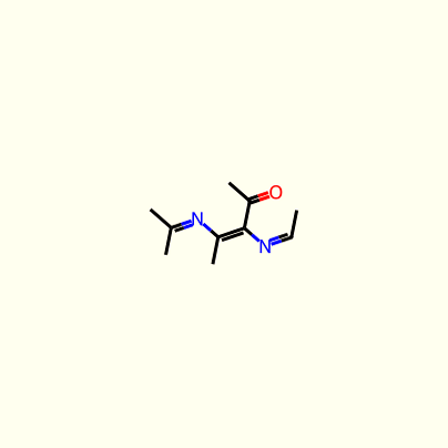 C/C=N\C(C(C)=O)=C(/C)N=C(C)C